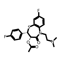 CC(=O)O[C@H]1C(=O)N(CCN(C)C)c2ccc(F)cc2S[C@H]1c1ccc(F)cc1